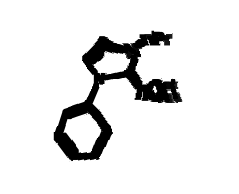 CCCCCCCCC1N(CCC)C=CN1c1ccccc1